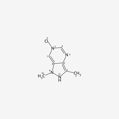 CC1=C2N=CN(Cl)C=C2N(C)N1